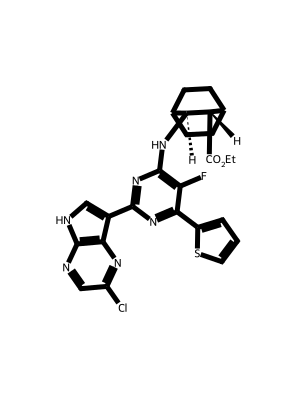 CCOC(=O)[C@H]1C2CCC(CC2)[C@@H]1Nc1nc(-c2c[nH]c3ncc(Cl)nc23)nc(-c2cccs2)c1F